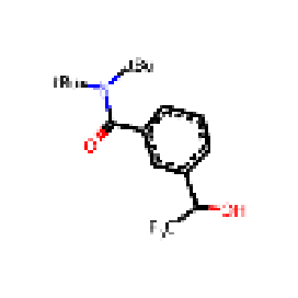 CC(C)(C)N(C(=O)c1cccc(C(O)C(F)(F)F)c1)C(C)(C)C